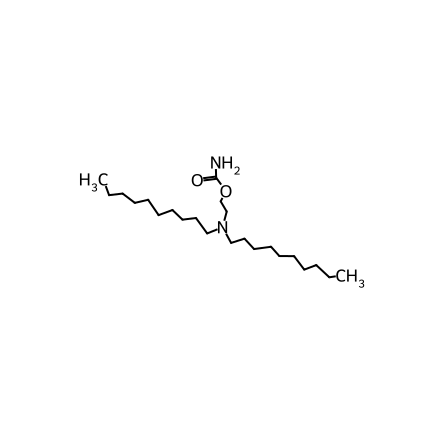 CCCCCCCCCCN(CCCCCCCCCC)CCOC(N)=O